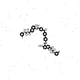 O=C(NC(=O)c1ccc2c(N=Nc3ccc(C(=O)c4ccc(-c5ccc(N=Nc6c(O)ccc7cc(C(=O)NC(=O)Nc8cccc(I)c8)ccc67)cc5)cc4)cc3)c(O)ccc2c1)Nc1cccc(I)c1